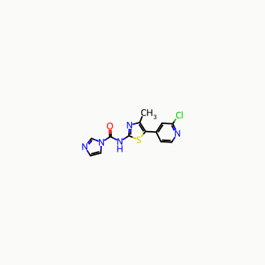 Cc1nc(NC(=O)n2ccnc2)sc1-c1ccnc(Cl)c1